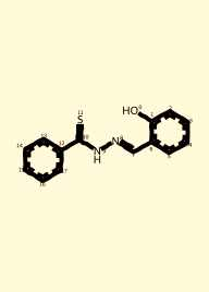 Oc1ccccc1/C=N/NC(=S)c1ccccc1